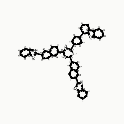 c1ccc2oc(-c3ccc4cc(-c5nc(-c6ccc(-c7cccc8c7oc7ccccc78)cc6)nc(-c6ccc7cc(-c8nc9ccccc9o8)ccc7c6)n5)ccc4c3)nc2c1